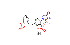 CC(C)OC(=O)Oc1cc(Cc2ccccc2OS(C)(=O)=O)ccc1N1CC(=O)NS1(=O)=O